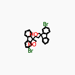 OCC1(CCC2(CO)c3ccccc3-c3ccc(Br)cc32)c2ccccc2-c2ccc(Br)cc21